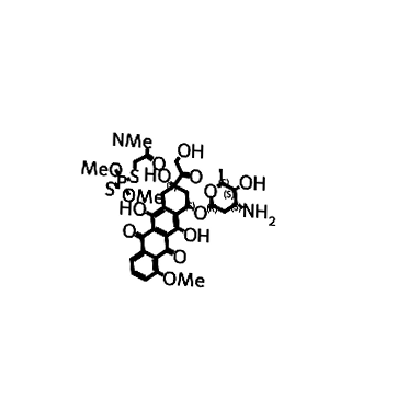 CNC(=O)CSP(=S)(OC)OC.COc1cccc2c1C(=O)c1c(O)c3c(c(O)c1C2=O)C[C@@](O)(C(=O)CO)C[C@@H]3O[C@H]1C[C@H](N)[C@H](O)[C@H](C)O1